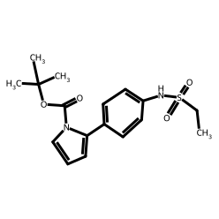 CCS(=O)(=O)Nc1ccc(-c2cccn2C(=O)OC(C)(C)C)cc1